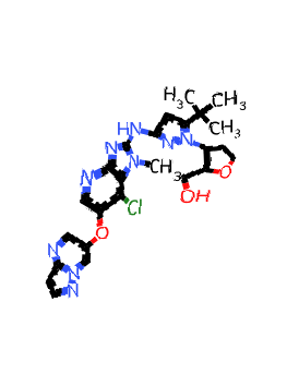 Cn1c(Nc2cc(C(C)(C)C)n(C3CCOC3CO)n2)nc2ncc(Oc3cnc4ccnn4c3)c(Cl)c21